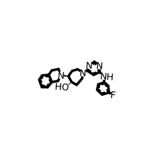 O[C@H]1CCN(c2cc(Nc3cccc(F)c3)ncn2)CC[C@@H]1N1CCc2ccccc2C1